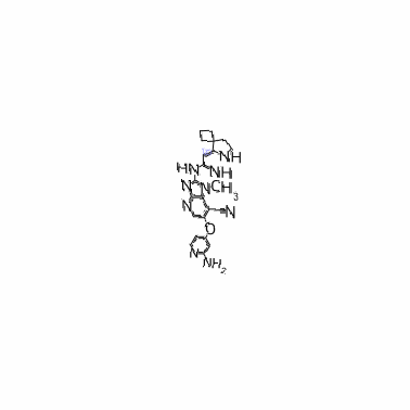 Cn1c(NC(=N)/C=C2\NCCC23CCC3)nc2ncc(Oc3ccnc(N)c3)c(C#N)c21